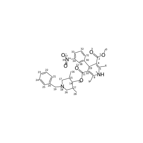 COC(=O)C1=C(C)NC(C)=C(C(=O)OC2C(C)CN(Cc3ccccc3)CC2C)C1c1cccc([N+](=O)[O-])c1